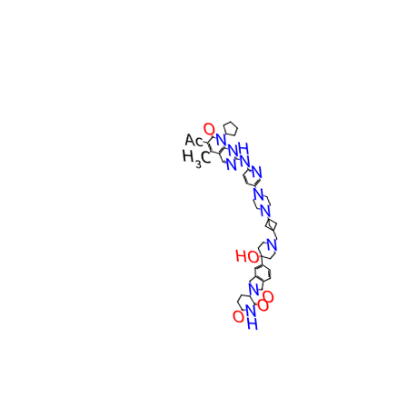 CC(=O)c1c(C)c2cnc(Nc3ccc(N4CCN(C56CC(CN7CCC(O)(c8ccc9c(c8)CN(C8CCC(=O)NC8=O)C9=O)CC7)(C5)C6)CC4)cn3)nc2n(C2CCCC2)c1=O